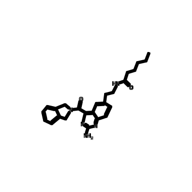 CCCCCC(=O)NCCc1ccc2nc(N)nc(C(=O)N3Cc4ccccc4C3)c2c1